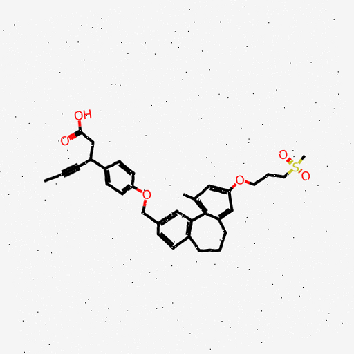 CC#CC(CC(=O)O)c1ccc(OCc2ccc3c(c2)-c2c(C)cc(OCCCS(C)(=O)=O)cc2CCC3)cc1